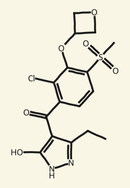 CCc1n[nH]c(O)c1C(=O)c1ccc(S(C)(=O)=O)c(OC2COC2)c1Cl